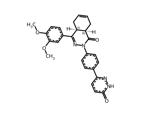 COc1ccc(C2=NN(c3ccc(-c4ccc(=O)[nH]n4)cc3)C(=O)[C@@H]3CC=CC[C@H]23)cc1OC